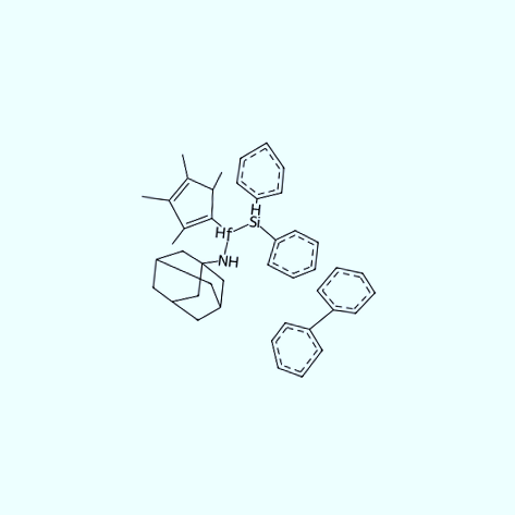 CC1=C(C)C(C)[C]([Hf]([NH]C23CC4CC(CC(C4)C2)C3)[SiH](c2ccccc2)c2ccccc2)=C1C.c1ccc(-c2ccccc2)cc1